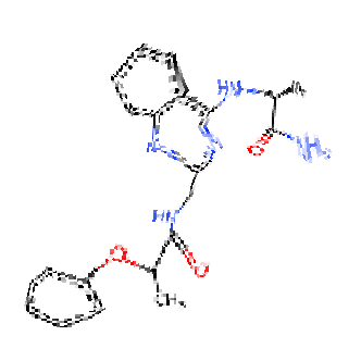 CC(Oc1ccccc1)C(=O)NCc1nc(N[C@H](C(N)=O)C(C)C)c2ccccc2n1